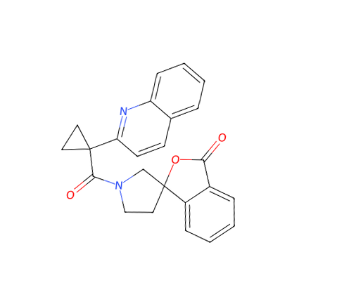 O=C1OC2(CCN(C(=O)C3(c4ccc5ccccc5n4)CC3)C2)c2ccccc21